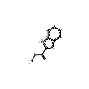 NCC(=O)c1cc2ccccc2[nH]1